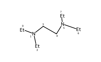 [CH2]CN(CC)CCN(C[CH2])CC